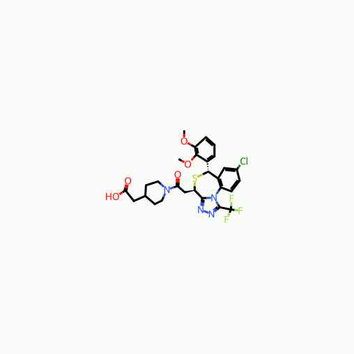 COc1cccc([C@H]2S[C@H](CC(=O)N3CCC(CC(=O)O)CC3)c3nnc(C(F)(F)F)n3-c3ccc(Cl)cc32)c1OC